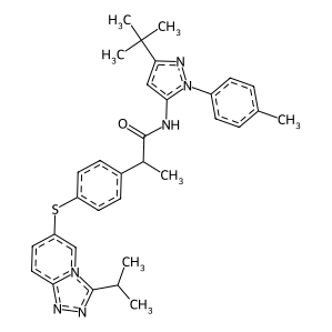 Cc1ccc(-n2nc(C(C)(C)C)cc2NC(=O)C(C)c2ccc(Sc3ccc4nnc(C(C)C)n4c3)cc2)cc1